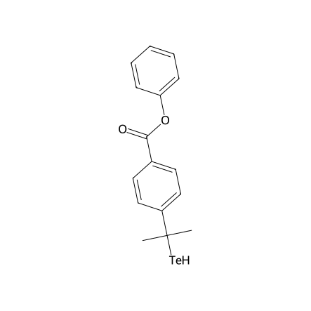 CC(C)([TeH])c1ccc(C(=O)Oc2ccccc2)cc1